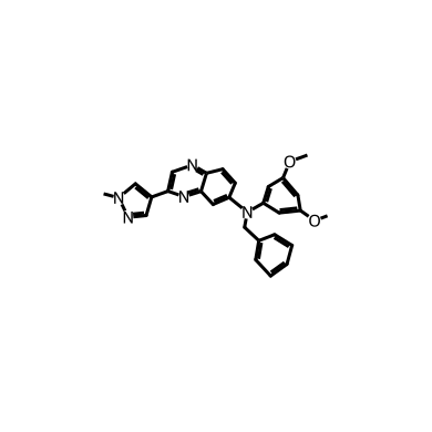 COc1cc(OC)cc(N(Cc2ccccc2)c2ccc3ncc(-c4cnn(C)c4)nc3c2)c1